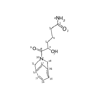 NC(=O)CCCC(O)C(=O)N1Cc2cccc(c2)C1